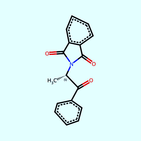 C[C@@H](C(=O)c1ccccc1)N1C(=O)c2ccccc2C1=O